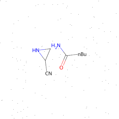 CCCCC(N)=O.N#CC1CN1